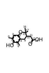 Cc1cc2c(c(C)c1O)CC(CC(=O)O)C(C)(C)O2